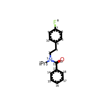 CC(C)N(CCc1ccc(F)cc1)C(=O)c1ccccc1